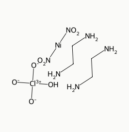 NCCN.NCCN.O=[N+]([O-])[Ni][N+](=O)[O-].[O-][Cl+3]([O-])([O-])O